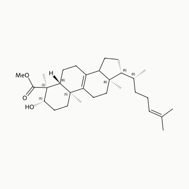 COC(=O)[C@]1(C)[C@@H](O)CC[C@]2(C)C3=C(CC[C@@H]12)C1CC[C@H]([C@H](C)CCC=C(C)C)[C@@]1(C)CC3